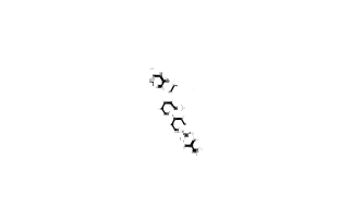 Cc1c(N[C@@H](C)CO[C@H]2CCCN(C3CCN(c4ncc(C(F)(F)F)cn4)CC3)C2=O)cn[nH]c1=O